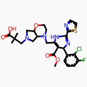 COC(=O)C1=C(CN2CCOC3CN(CC(C)(C)C(=O)O)CC32)NC(c2nccs2)=NC1c1cccc(F)c1Cl